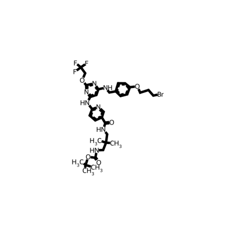 CC(C)(CNC(=O)OC(C)(C)C)CNC(=O)c1ccc(Nc2cc(NCc3ccc(OCCCBr)cc3)nc(OCC(F)(F)F)n2)nc1